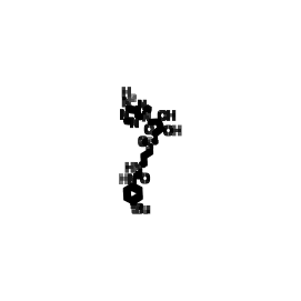 CC(C)(C)c1ccc(NC(=O)NCCC[S+]([O-])C[C@H]2O[C@@H](n3cnc4c(N)ncnc43)[C@H](O)[C@H]2O)cc1